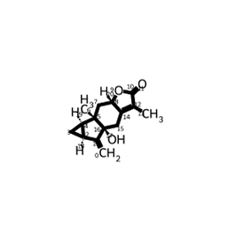 C=C1[C@H]2C[C@H]2[C@]2(C)C[C@@H]3OC(=O)C(C)=C3C[C@]12O